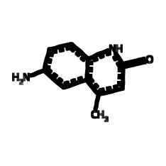 Cc1cc(=O)[nH]c2ccc(N)cc12